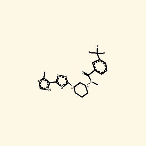 Cc1nc[nH]c1-c1nnc([C@H]2CCC[C@@H](N(C)C(=O)c3cccc(C(F)(F)F)c3)C2)o1